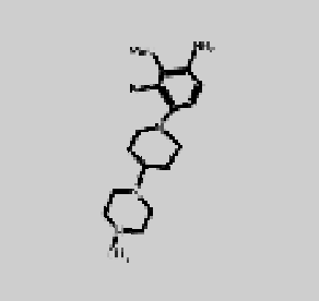 COc1c(N)ccc(N2CCC(N3CCN(C)CC3)CC2)c1F